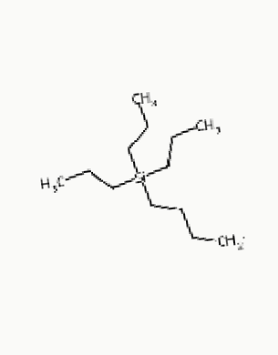 [CH2]CCC[Si](CCC)(CCC)CCC